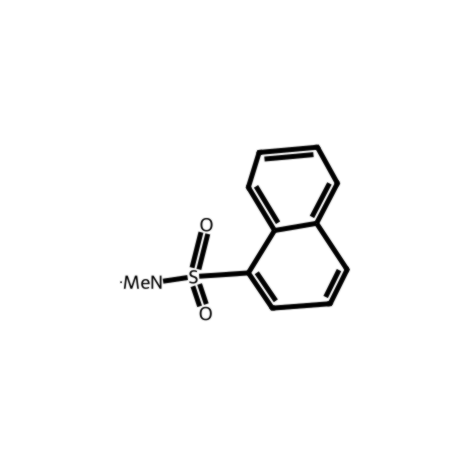 C[N]S(=O)(=O)c1cccc2ccccc12